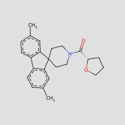 Cc1ccc2c(c1)C1(CCN(C(=O)[C@@H]3CCCO3)CC1)c1cc(C)ccc1-2